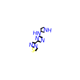 c1cn2c(-c3cncc(N[C@@H]4CCNC4)n3)cnc2s1